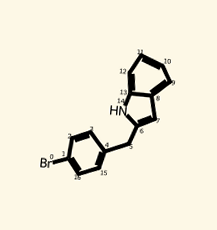 Brc1ccc(Cc2cc3ccccc3[nH]2)cc1